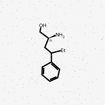 CCC(C[C@H](N)CO)c1ccccc1